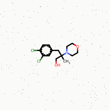 CC(CO)(Cc1ccc(Cl)c(Cl)c1)N1CCOCC1